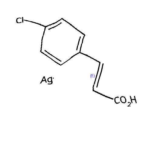 O=C(O)/C=C/c1ccc(Cl)cc1.[Ag]